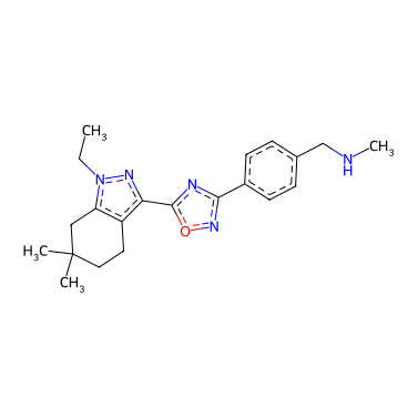 CCn1nc(-c2nc(-c3ccc(CNC)cc3)no2)c2c1CC(C)(C)CC2